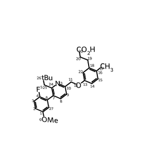 COc1ccc(F)c(-c2ccc(COc3ccc(C)c(CCC(=O)O)c3)nc2CC(C)(C)C)c1